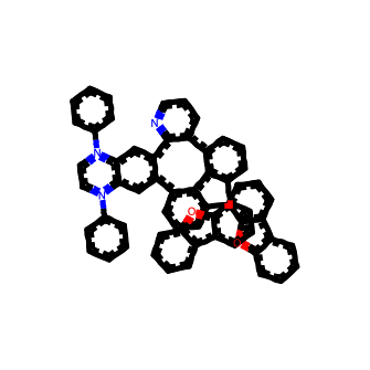 c1ccc(-n2ccn(-c3ccccc3)c3cc4c(cc32)c2cccc(-c3cccc5c3oc3ccccc35)c2c2c(-c3cccc5c3oc3ccccc35)cccc2c2cccnc42)cc1